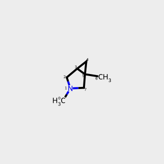 CN1CC2CC2(C)C1